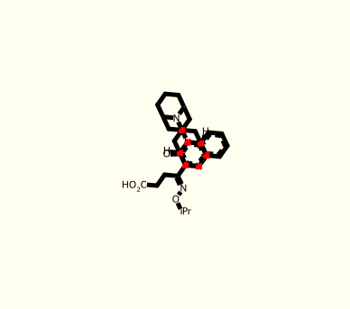 CC(C)ON=C(CCC(=O)O)c1nc2ccccc2n(C2CC3CCCC(C2)N3C2C[C@H]3CCC[C@@H](C2)C3)c1=O